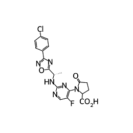 C[C@H](Nc1ncc(F)c(N2C(=O)CCC2C(=O)O)n1)c1nc(-c2ccc(Cl)cc2)no1